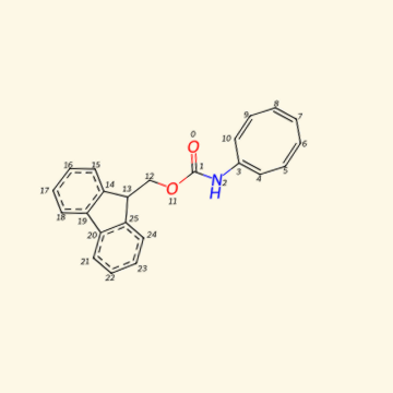 O=C(NC1=C/C=C\C=C/C=C\1)OCC1c2ccccc2-c2ccccc21